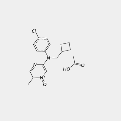 CC(=O)O.CC1C=NC(N(CC2CCC2)c2ccc(Cl)cc2)=C[N+]1=O